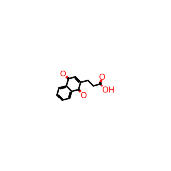 O=C(O)CCC1=CC(=O)c2ccccc2C1=O